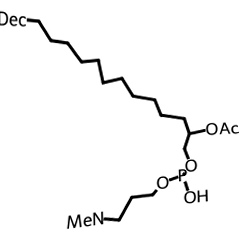 CCCCCCCCCCCCCCCCCCCCCC(COP(O)OCCCNC)OC(C)=O